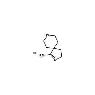 Cl.NC1=NCCC12CCNCC2